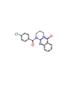 O=C(c1ccc(Cl)cc1)N1CCCn2c1nc1ccccc1c2=O